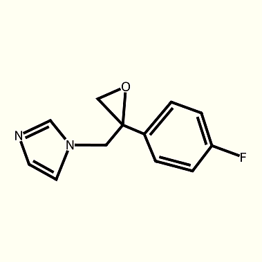 Fc1ccc(C2(Cn3ccnc3)CO2)cc1